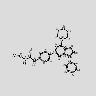 CONC(=O)Nc1ccc(-c2nc(N3CCOCC3)c3cnn(-c4ccccc4)c3n2)cc1